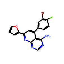 Nc1ncnc2nc(-c3ccco3)cc(-c3ccc(F)c(Br)c3)c12